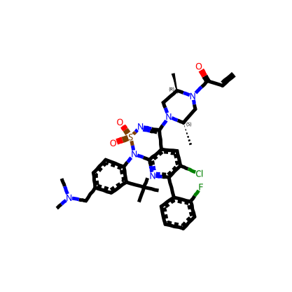 C=CC(=O)N1C[C@H](C)N(C2=NS(=O)(=O)N(c3ccc(CN(C)C)cc3C(C)(C)C)c3nc(-c4ccccc4F)c(Cl)cc32)C[C@H]1C